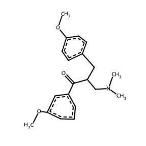 COc1ccc(CC(CN(C)C)C(=O)c2cccc(OC)c2)cc1